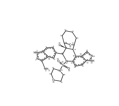 Nc1n[nH]c2ccc(C3[C@@H]4C5CCCCC(C5)C4c4c(ccc5[nH]ncc45)N3S(=O)(=O)N3CCOCC3)cc12